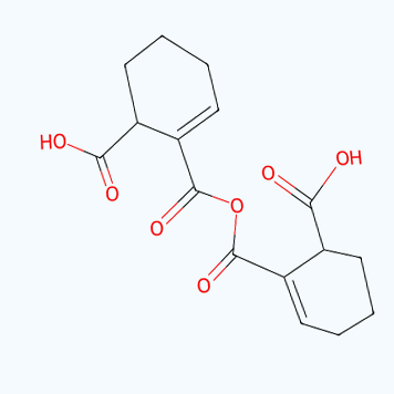 O=C(OC(=O)C1=CCCCC1C(=O)O)C1=CCCCC1C(=O)O